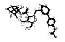 CC(=O)Nc1ccc(-c2cccc(CN3OC(CO)C([C@H](C)O)[C@H]3C(=O)N[C@H]3CC4C[C@@H](C3C)C4(C)C)c2)cc1